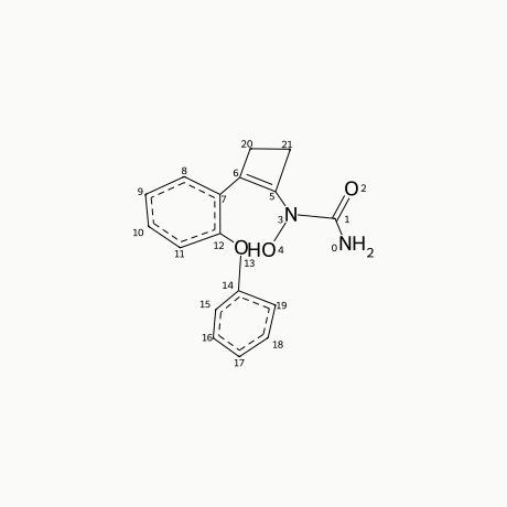 NC(=O)N(O)C1=C(c2ccccc2Oc2ccccc2)CC1